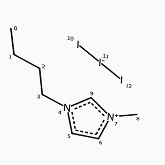 CCCCn1cc[n+](C)c1.I[I-]I